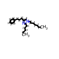 CCCCCCCn1cc(CCCc2ccccc2)nc1CCCCC